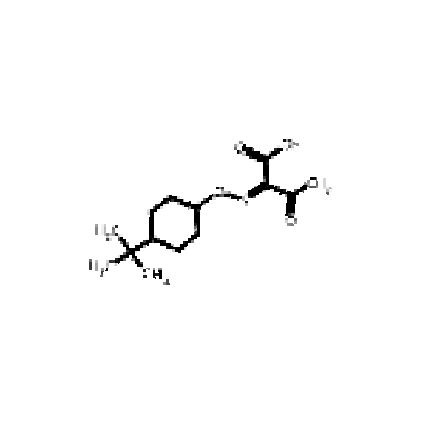 CC(=O)C(=NOC1CCC(C(C)(C)C)CC1)C(=O)O